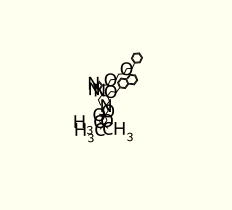 CC(C)(C)OC(=O)ON1CCC(n2nncc2COCCCOCc2ccccc2)C(OCc2ccc3ccccc3c2)C1